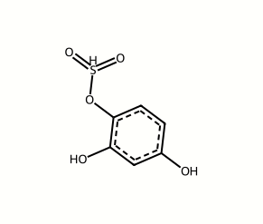 O=[SH](=O)Oc1ccc(O)cc1O